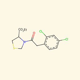 CCOC(=O)C1CSCN1C(=O)Cc1ccc(Cl)cc1Cl